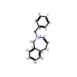 C1=CN(Cc2ccccc2)Cc2ccccc2C1